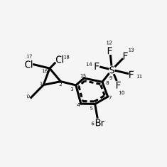 CC1C(c2cc(Br)cc(S(F)(F)(F)(F)F)c2)C1(Cl)Cl